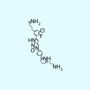 C[C@H](N)CCCc1cc(Cl)c(F)c(-c2cc3cn(-c4ccc([C@@H]5CCC[C@@H](CCCN)N5)cc4)c(=O)nc3[nH]2)c1